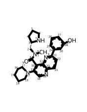 CN(C[C@@H]1CCCN1)C(=O)c1c(N2CCCCC2)cnc2ccc(-c3cccc(O)c3)nc12